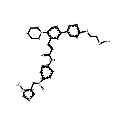 CCCCOCCOc1ccc(-c2ccc(N3CCCCC3)c(/C=C/C(=O)Nc3ccc([S@@+]([O-])Cc4cncn4CCC)cc3)c2)cc1